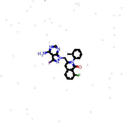 Cc1ccccc1-n1c(Cn2nc(I)c3c(N)ncnc32)cc2cccc(F)c2c1=O